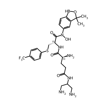 CC1(C)OBc2ccc(N(O)C(=O)[C@@H](CSc3ccc(C(F)(F)F)cc3)NC(=O)[C@@H](N)CCC(=O)NC(CN)CN)cc21